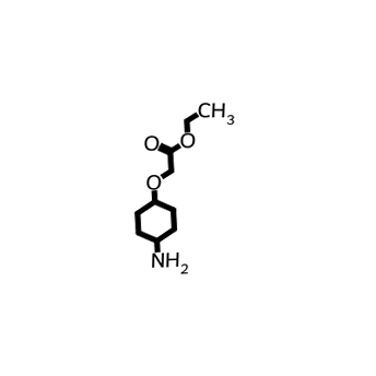 CCOC(=O)COC1CCC(N)CC1